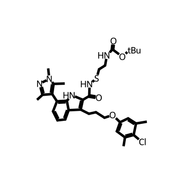 Cc1cc(OCCCc2c(C(=O)NSCCNC(=O)OC(C)(C)C)[nH]c3c(-c4c(C)nn(C)c4C)cccc23)cc(C)c1Cl